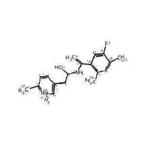 C=C(NC(O)CC(/C=C\C(C)=N)=C/C)c1cc(F)c(C)cc1C